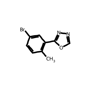 Cc1ccc(Br)cc1-c1nnco1